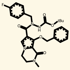 CN1CCn2cc(C(=O)N(Cc3ccc(F)cc3)NC(=O)OC(C)(C)C)c(OCc3ccccc3)c2C1=O